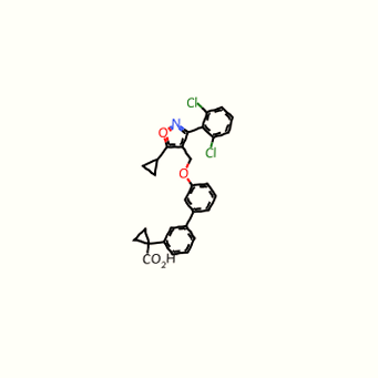 O=C(O)C1(c2cccc(-c3cccc(OCc4c(-c5c(Cl)cccc5Cl)noc4C4CC4)c3)c2)CC1